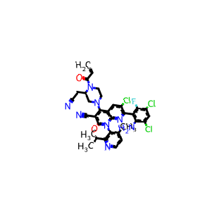 C=CC(=O)N1CCN(c2c(C#N)c(=O)n(-c3c(C)ccnc3C(C)C)c3nc(-c4c(N)c(Cl)cc(Cl)c4F)c(Cl)cc23)CC1CC#N